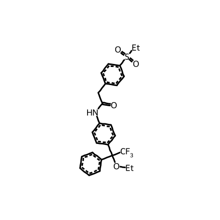 CCOC(c1ccccc1)(c1ccc(NC(=O)Cc2ccc(S(=O)(=O)CC)cc2)cc1)C(F)(F)F